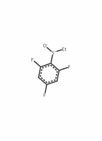 CC[S+]([O-])c1c(F)cc(F)cc1F